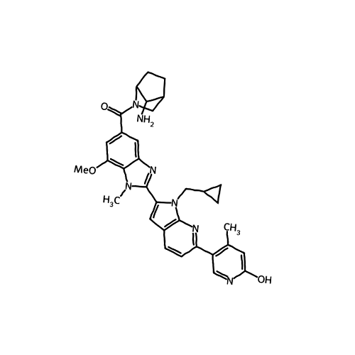 COc1cc(C(=O)N2CC3CCC2C3N)cc2nc(-c3cc4ccc(-c5cnc(O)cc5C)nc4n3CC3CC3)n(C)c12